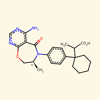 CC(C(=O)O)C1(c2ccc(N3C(=O)c4c(N)ncnc4OC[C@@H]3C)cc2)CCCCC1